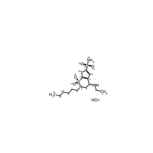 CCNC1CN(CCCSCC)S(=O)(=O)c2sc(S(N)(=O)=O)cc21.Cl